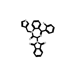 O=C1C(N2C(=O)c3ccccc3C2=O)N=C(c2ccccc2F)c2ccccc2N1Cc1ccsc1